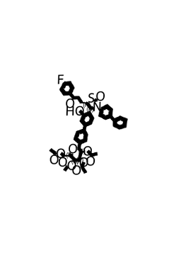 CC(=O)OC[C@H]1OC(c2ccc(-c3ccc([C@@H]4[C@@H](CCC(=O)c5ccc(F)cc5)SC(=O)N4c4ccc(-c5ccccc5)cc4)c(O)c3)cc2)[C@H](OC(C)=O)[C@@H](OC(C)=O)[C@@H]1OC(C)=O